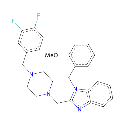 COc1ccccc1Cn1c(CN2CCN(Cc3ccc(F)c(F)c3)CC2)nc2ccccc21